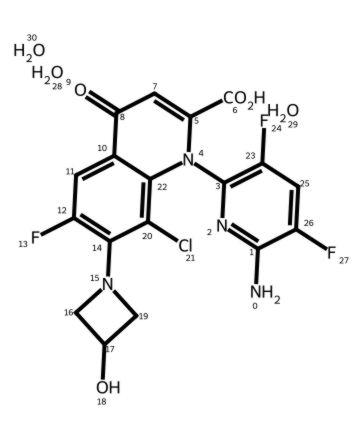 Nc1nc(-n2c(C(=O)O)cc(=O)c3cc(F)c(N4CC(O)C4)c(Cl)c32)c(F)cc1F.O.O.O